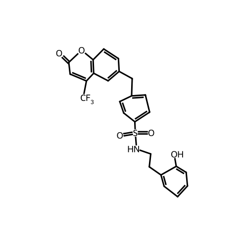 O=c1cc(C(F)(F)F)c2cc(Cc3ccc(S(=O)(=O)NCCc4ccccc4O)cc3)ccc2o1